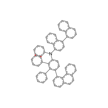 c1ccc(-c2c(-c3cccc4ccc5ccccc5c34)ccc(N(c3ccccc3)c3ccc(-c4cccc5ccccc45)c4ccccc34)c2-c2ccccc2)cc1